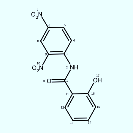 O=C(Nc1ccc([N+](=O)[O-])cc1[N+](=O)[O-])c1ccccc1O